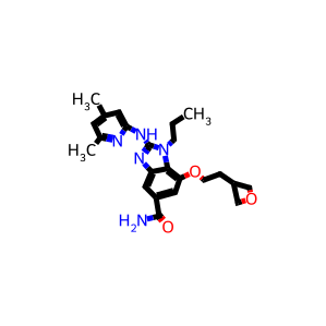 CCCn1c(Nc2cc(C)cc(C)n2)nc2cc(C(N)=O)cc(OCCC3COC3)c21